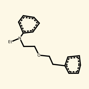 CCN(CCOCCc1ccccc1)c1ccccc1